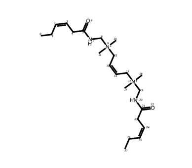 CC/C=C\CC(=O)NC[N+](C)(C)C/C=C\C[N+](C)(C)CNC(=O)C/C=C\CC